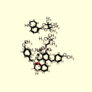 CC1(C)OB(c2cccc3c2CCCN3)OC1(C)C.COc1ccc(Cc2cc(S(=O)(=O)CC[Si](C)(C)C)c(S(N)(=O)=O)c(-c3nnn(Cc4ccc(OC)cc4)n3)c2-c2cccc3c2CCCN3)cc1